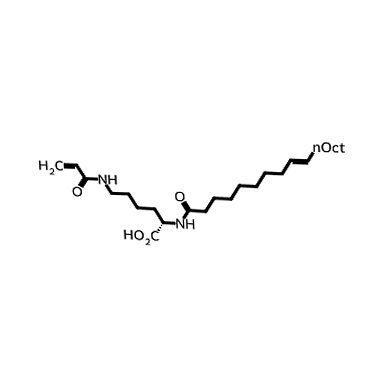 C=CC(=O)NCCCC[C@H](NC(=O)CCCCCCC/C=C/CCCCCCCC)C(=O)O